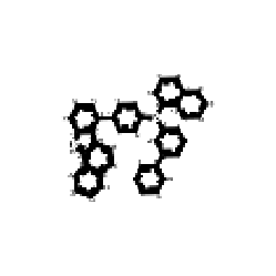 c1ccc(-c2cccc(N(c3ccc(-c4cccc5oc6c7ccccc7ccc6c45)cc3)c3cccc4ccccc34)c2)cc1